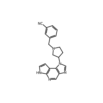 N#Cc1cccc(CN2CCC(n3cnc4cnc5[nH]ccc5c43)C2)c1